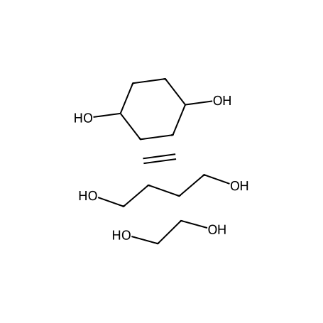 C=C.OC1CCC(O)CC1.OCCCCO.OCCO